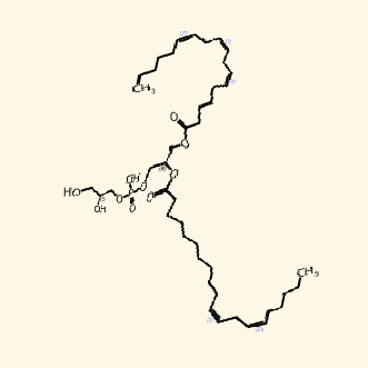 CCCCC/C=C\C/C=C\C/C=C\CCCCC(=O)OC[C@H](COP(=O)(O)OC[C@@H](O)CO)OC(=O)CCCCCCCCC/C=C\C/C=C\CCCCC